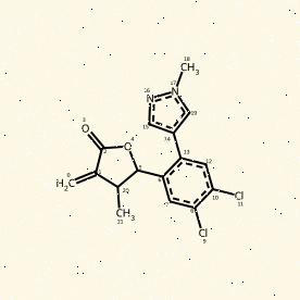 C=C1C(=O)OC(c2cc(Cl)c(Cl)cc2-c2cnn(C)c2)C1C